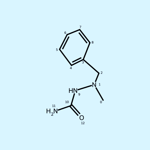 CN(Cc1ccccc1)NC(N)=O